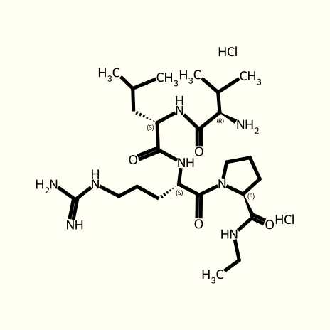 CCNC(=O)[C@@H]1CCCN1C(=O)[C@H](CCCNC(=N)N)NC(=O)[C@H](CC(C)C)NC(=O)[C@H](N)C(C)C.Cl.Cl